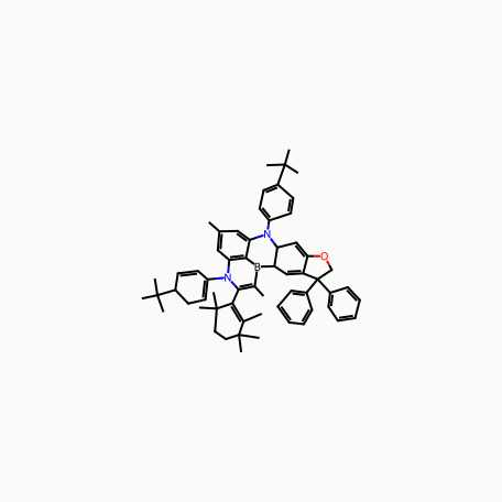 CC1=C(C2=C(C)C(C)(C)CCC2(C)C)N(C2=CCC(C(C)(C)C)C=C2)c2cc(C)cc3c2B1C1C=C2C(=CC1N3c1ccc(C(C)(C)C)cc1)OCC2(c1ccccc1)c1ccccc1